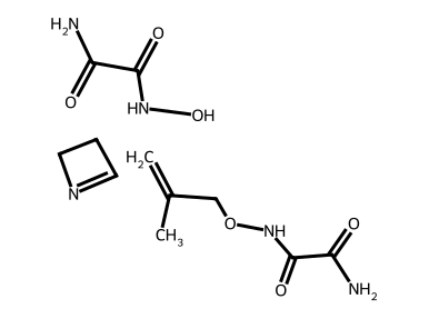 C1=NCC1.C=C(C)CONC(=O)C(N)=O.NC(=O)C(=O)NO